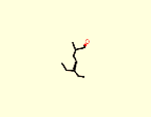 CCC(=CCC(C)C=O)CC